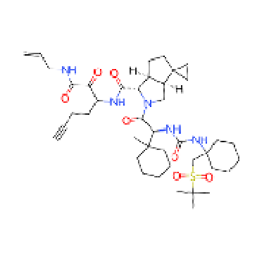 C#CCCC(NC(=O)[C@@H]1[C@H]2CCC3(CC3)[C@H]2CN1C(=O)[C@@H](NC(=O)NC1(CS(=O)(=O)C(C)(C)C)CCCCC1)C1(C)CCCCC1)C(=O)C(=O)NCC=C